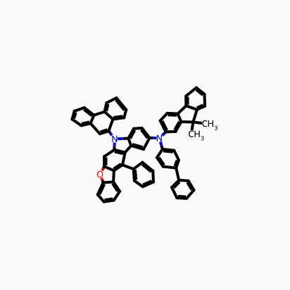 CC1(C)c2ccccc2-c2ccc(N(c3ccc(-c4ccccc4)cc3)c3ccc4c(c3)c3c(-c5ccccc5)c5c(cc3n4-c3cc4ccccc4c4ccccc34)oc3ccccc35)cc21